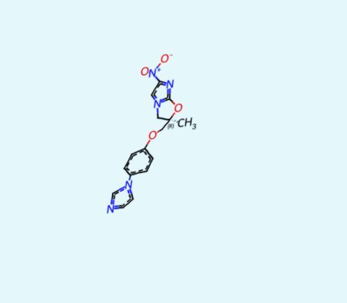 C[C@]1(COc2ccc(-n3ccnc3)cc2)Cn2cc([N+](=O)[O-])nc2O1